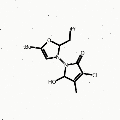 CC1=C(Cl)C(=O)N(N2C=C(C(C)(C)C)OC2CC(C)C)C1O